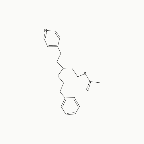 CC(=O)SCCC(C[CH]c1ccncc1)CCCc1ccccc1